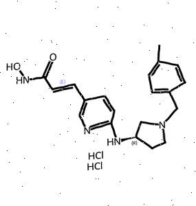 Cc1ccc(CN2CC[C@@H](Nc3ccc(/C=C/C(=O)NO)cn3)C2)cc1.Cl.Cl